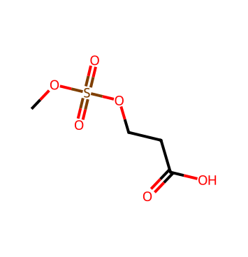 COS(=O)(=O)OCCC(=O)O